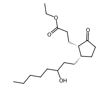 CCCCCC(O)CC[C@H]1CCC(=O)[C@H]1CCC(=O)OCC